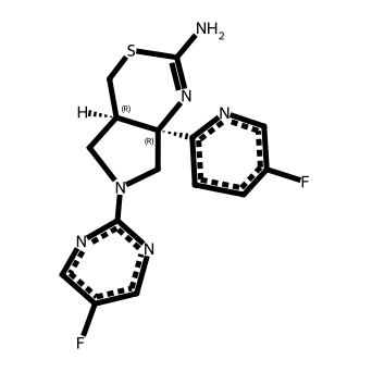 NC1=N[C@@]2(c3ccc(F)cn3)CN(c3ncc(F)cn3)C[C@H]2CS1